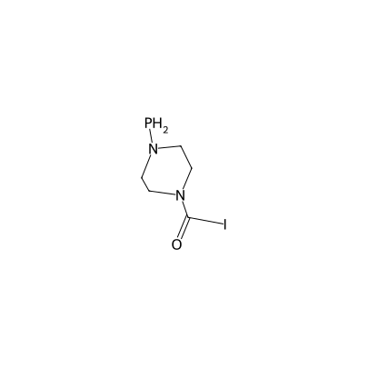 O=C(I)N1CCN(P)CC1